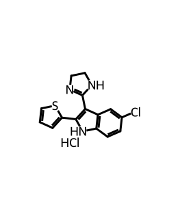 Cl.Clc1ccc2[nH]c(-c3cccs3)c(C3=NCCN3)c2c1